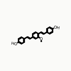 COc1cc(/C=C/c2ccc(O)cc2)ccc1/C=C/c1ccc(O)cc1